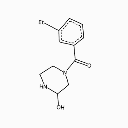 CCc1cccc(C(=O)N2CCNC(O)C2)c1